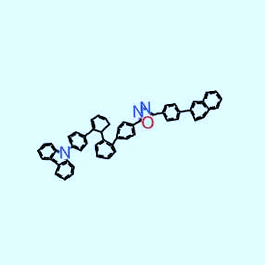 C1=CCC(c2ccccc2-c2ccc(-c3nnc(-c4ccc(-c5ccc6ccccc6c5)cc4)o3)cc2)C(c2ccc(-n3c4ccccc4c4ccccc43)cc2)=C1